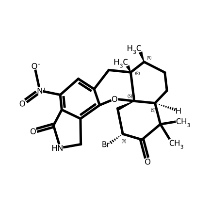 C[C@H]1CC[C@H]2C(C)(C)C(=O)[C@H](Br)C[C@]23Oc2c(cc([N+](=O)[O-])c4c2CNC4=O)C[C@]13C